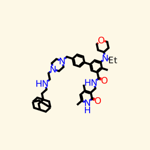 CCN(c1cc(-c2ccc(CN3CCN(CCNCCC45CC6CC(CC(C6)C4)C5)CC3)cc2)cc(C(=O)NCc2c(C)cc(C)[nH]c2=O)c1C)C1CCOCC1